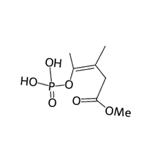 COC(=O)CC(C)=C(C)OP(=O)(O)O